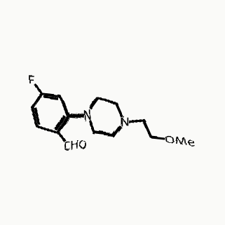 COCCN1CCN(c2cc(F)ccc2C=O)CC1